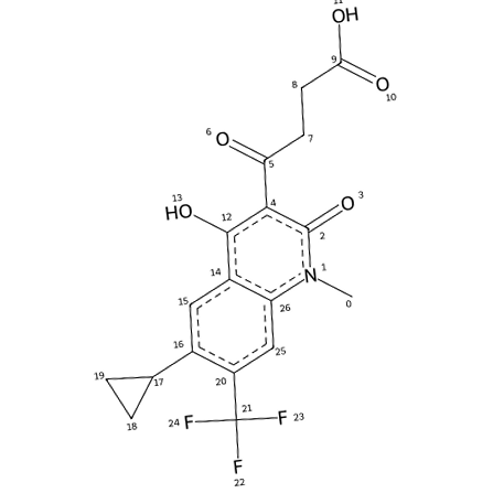 Cn1c(=O)c(C(=O)CCC(=O)O)c(O)c2cc(C3CC3)c(C(F)(F)F)cc21